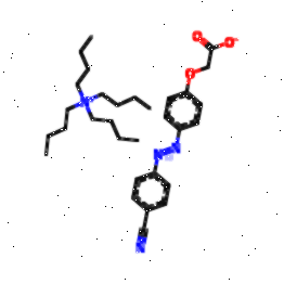 CCCC[N+](CCCC)(CCCC)CCCC.N#Cc1ccc(/N=N/c2ccc(OCC(=O)[O-])cc2)cc1